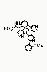 COc1ccccc1-c1nccc(COC2(c3ccnnc3)C(c3ccnnc3)=CC=CC2CC(N)C(=O)O)n1